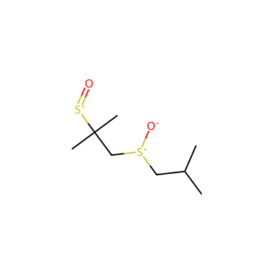 CC(C)C[S+]([O-])CC(C)(C)[S+]=O